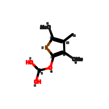 COc1sc(OB(O)O)c(OC)c1C